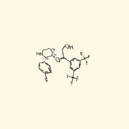 OCC(O[C@@H]1OCCN[C@H]1c1ccc(F)cc1)c1cc(C(F)(F)F)cc(C(F)(F)F)c1